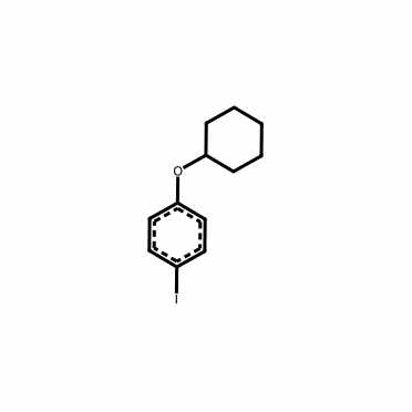 Ic1ccc(OC2CCCCC2)cc1